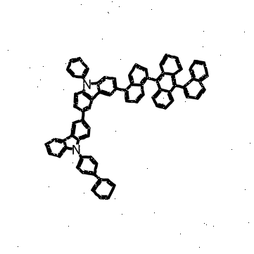 c1ccc(-c2ccc(-n3c4ccccc4c4cc(-c5ccc6c(c5)c5cc(-c7cccc8c(-c9c%10ccccc%10c(-c%10cccc%11ccccc%10%11)c%10ccccc9%10)cccc78)ccc5n6-c5ccccc5)ccc43)cc2)cc1